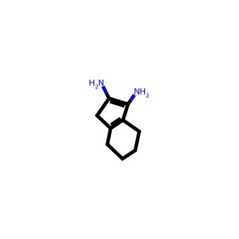 NC1=C(N)C2=C(CCCC2)C1